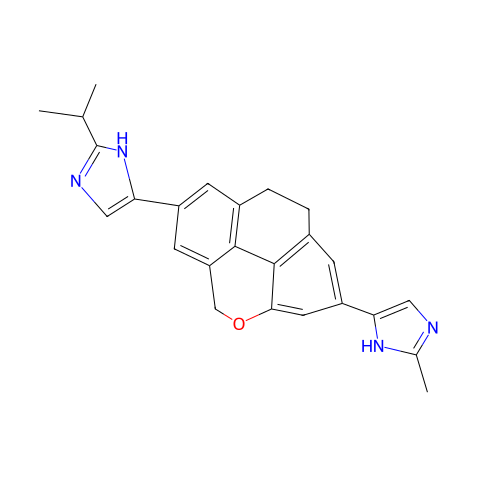 Cc1ncc(-c2cc3c4c(c2)OCc2cc(-c5cnc(C(C)C)[nH]5)cc(c2-4)CC3)[nH]1